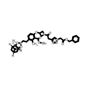 Cc1c(CCB2O[C@@H]3C[C@@H]4C[C@@H](C4(C)C)[C@]3(C)O2)ccc(OC2CN(C(=O)Cc3cn(CC(=O)OCc4ccccc4)nn3)C2)c1C(=O)OC(C)(C)C